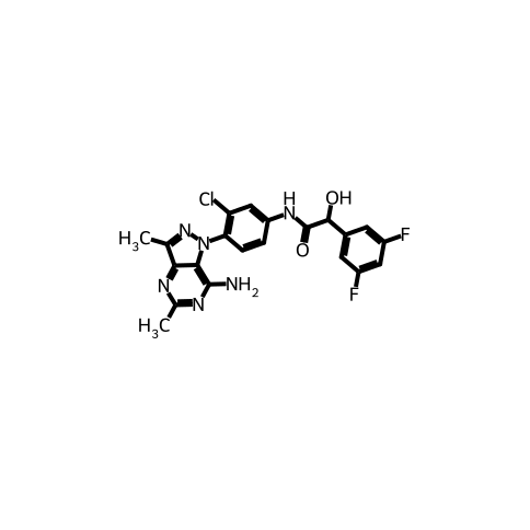 Cc1nc(N)c2c(n1)c(C)nn2-c1ccc(NC(=O)C(O)c2cc(F)cc(F)c2)cc1Cl